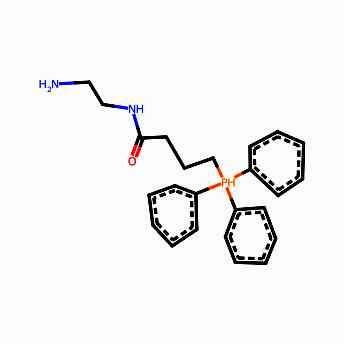 NCCNC(=O)CCC[PH](c1ccccc1)(c1ccccc1)c1ccccc1